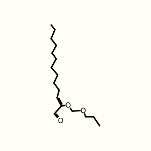 CCCCCCCCCCC=C(C=O)OCOCCC